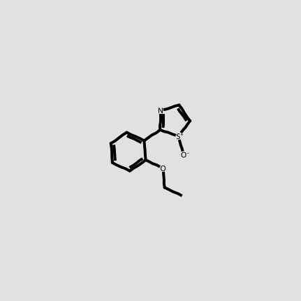 CCOc1ccccc1-c1ncc[s+]1[O-]